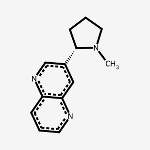 CN1CCC[C@H]1c1cnc2cccnc2c1